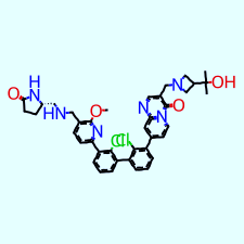 COc1nc(-c2cccc(-c3cccc(-c4ccn5c(=O)c(CN6CC(C(C)(C)O)C6)cnc5c4)c3Cl)c2Cl)ccc1CNC[C@@H]1CCC(=O)N1